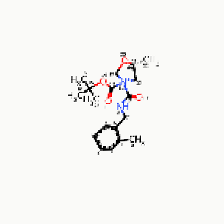 Cc1ccccc1CNC(=O)[N+]1(C(=O)OC(C)(C)C)CO[C@H](C)C1